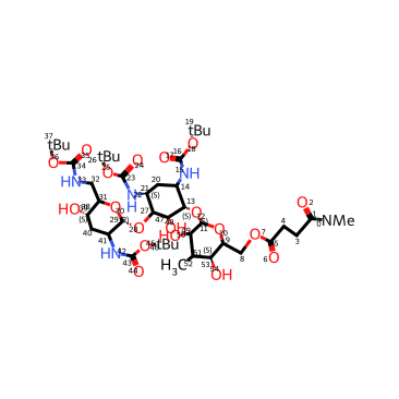 CNC(=O)CCC(=O)OCC1O[C@H](O[C@H]2C(NC(=O)OC(C)(C)C)C[C@H](NC(=O)OC(C)(C)C)C(O[C@H]3OC(CNC(=O)OC(C)(C)C)[C@@H](O)CC3NC(=O)OC(C)(C)C)C2O)C(O)C(C)[C@@H]1O